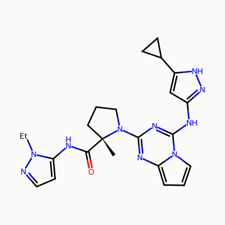 CCn1nccc1NC(=O)[C@]1(C)CCCN1c1nc(Nc2cc(C3CC3)[nH]n2)n2cccc2n1